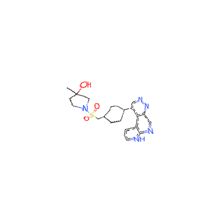 CC1(O)CCN(S(=O)(=O)CC2CCC(c3cnnc4cnc5[nH]ccc5c34)CC2)C1